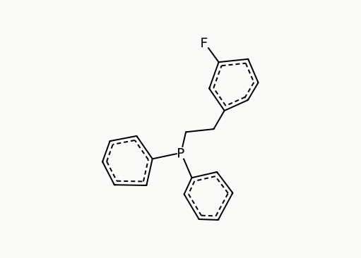 Fc1cccc(CCP(c2ccccc2)c2ccccc2)c1